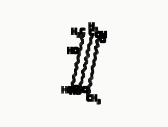 CCCCCCC(O)CCCCCCCCCCC(=O)O.CCCCCCCCCCCCCCCCCC(=O)O.CCCCCCCCCCCCCCCCCCC(=O)O